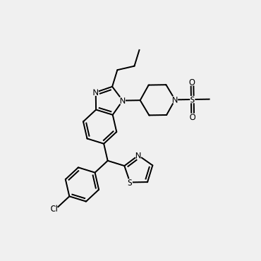 CCCc1nc2ccc(C(c3ccc(Cl)cc3)c3nccs3)cc2n1C1CCN(S(C)(=O)=O)CC1